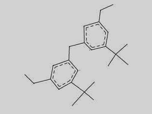 CCc1cc(Cc2[c]c(C(C)(C)C)cc(CC)c2)[c]c(C(C)(C)C)c1